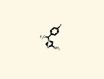 Nc1cn(C(c2ccc(F)cc2)C(F)(F)F)cn1